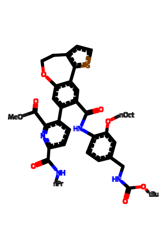 CCCCCCCCOc1cc(CNC(=O)OC(C)(C)C)ccc1NC(=O)c1cc2c(cc1-c1ccc(C(=O)NCCC)nc1C(=O)OC)OCCc1ccsc1-2